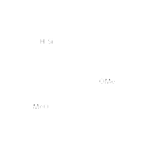 COc1cc([SiH3])cc(OC)c1